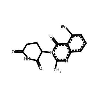 Cc1nc2cccc(C(C)C)c2c(=O)n1C1CCC(=O)NC1=O